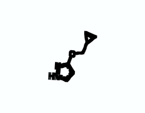 C1=CC1COc1cc[nH]n1